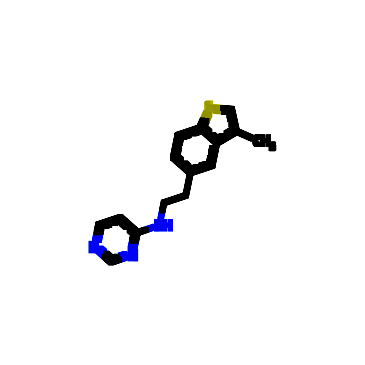 Cc1csc2ccc(CCNc3ccncn3)cc12